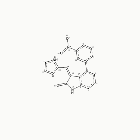 O=C1Nc2cccc(-c3cccc([N+](=O)[O-])c3)c2C1=Cc1ccc[nH]1